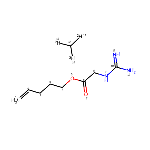 C=CCCCOC(=O)CNC(=N)N.[2H]C([2H])[2H]